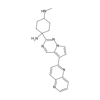 CNC1CCC(N)(c2ncc3c(-c4ccc5ncccc5n4)ccn3n2)CC1